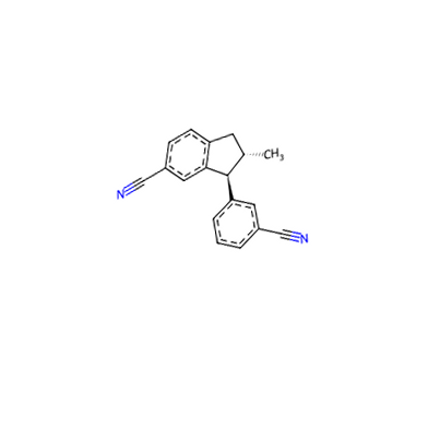 C[C@H]1Cc2ccc(C#N)cc2[C@@H]1c1cccc(C#N)c1